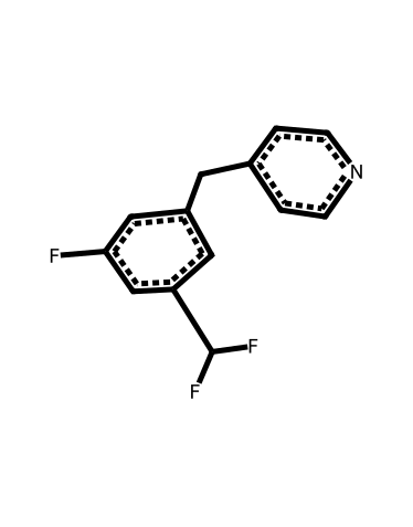 Fc1cc(Cc2ccncc2)cc(C(F)F)c1